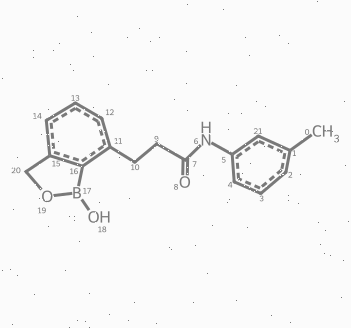 Cc1cccc(NC(=O)CCc2cccc3c2B(O)OC3)c1